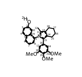 [2H]Oc1ccc2cccc(-n3c(C)c4c(c3-c3cc(OC)c(OC)c(OC)c3)CCCC4)c2c1